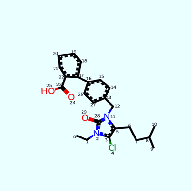 CCn1c(Cl)c(CCC(C)C)n(Cc2ccc(-c3ccccc3C(=O)O)cc2)c1=O